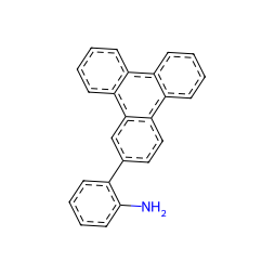 Nc1ccccc1-c1ccc2c3ccccc3c3ccccc3c2c1